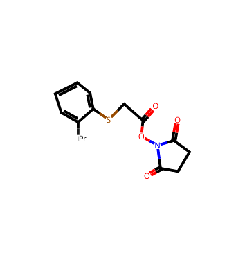 CC(C)c1ccccc1SCC(=O)ON1C(=O)CCC1=O